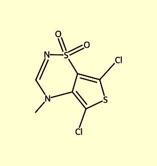 CN1C=NS(=O)(=O)c2c(Cl)sc(Cl)c21